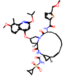 COCc1ccc(C(=O)N[C@H]2CCCCC/C=C\[C@@H]3C[C@@]3(C(=O)NS(=O)(=O)C3CC3)NC(=O)[C@@H]3C[C@@H](Oc4cc(OC(C)C)nc5c(C)c(OC)ccc45)CN3C2=O)s1